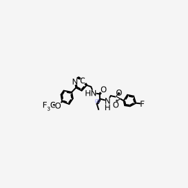 C/C=C(\NCS(=O)(=O)c1ccc(F)cc1)C(=O)NCc1ccnc(-c2ccc(OC(F)(F)F)cc2)c1